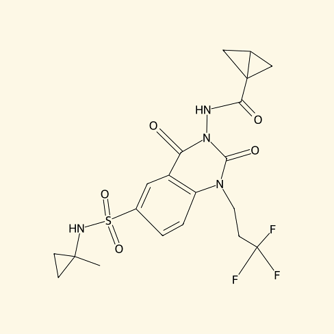 CC1(NS(=O)(=O)c2ccc3c(c2)c(=O)n(NC(=O)C24CC2C4)c(=O)n3CCC(F)(F)F)CC1